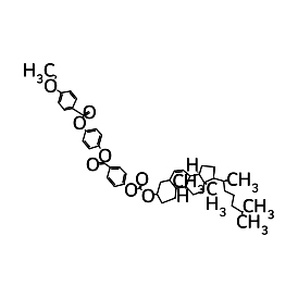 CCOc1ccc(C(=O)Oc2ccc(OC(=O)c3ccc(OC(=O)OC4CC[C@]5(C)C(C=CC6[C@H]7CC[C@@H]([C@@H](C)CCCC(C)C)[C@]7(C)CC[C@H]65)C4)cc3)cc2)cc1